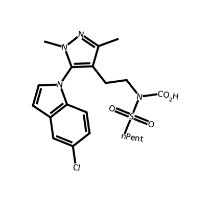 CCCCCS(=O)(=O)N(CCc1c(C)nn(C)c1-n1ccc2cc(Cl)ccc21)C(=O)O